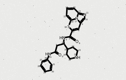 O=C(CC(NC(=O)C1=Cc2cnc3cccc(n23)S1)C1CCNCC1)Nc1ccccc1